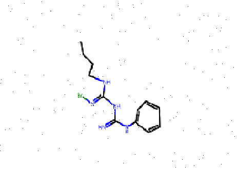 CCCCNC(=NBr)NC(=N)Nc1ccccc1